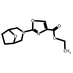 CCOC(=O)c1coc(N2CC3CCC(C2)O3)n1